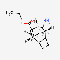 CCOC(=O)[C@@H]1[C@@H](N)[C@@H]2CC[C@H]1C1CCC12